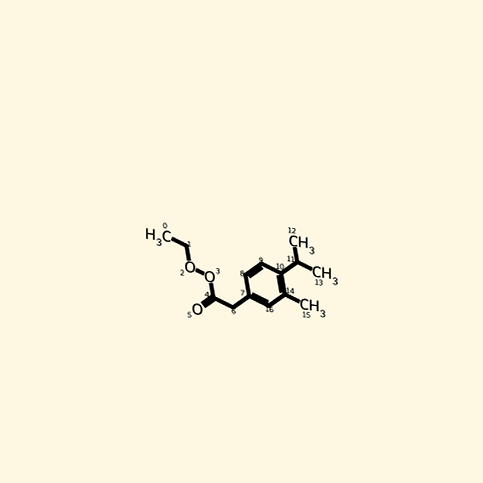 CCOOC(=O)Cc1ccc(C(C)C)c(C)c1